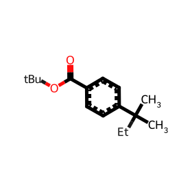 CCC(C)(C)c1ccc(C(=O)OC(C)(C)C)cc1